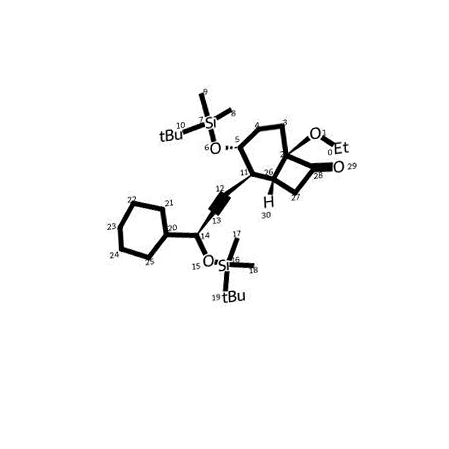 CCO[C@]12CC[C@@H](O[Si](C)(C)C(C)(C)C)[C@H](C#C[C@@H](O[Si](C)(C)C(C)(C)C)C3CCCCC3)[C@H]1CC2=O